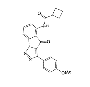 COc1ccc(C2=C3C(=O)c4c(NC(=O)C5CCC5)cccc4C3N=N2)cc1